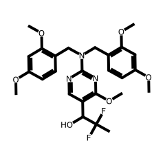 COc1ccc(CN(Cc2ccc(OC)cc2OC)c2ncc(C(O)C(C)(F)F)c(OC)n2)c(OC)c1